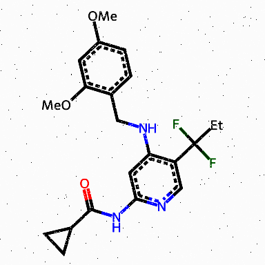 CCC(F)(F)c1cnc(NC(=O)C2CC2)cc1NCc1ccc(OC)cc1OC